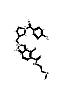 COCCNC(=O)c1ccc2nn(CC3CCN(C(=O)c4ccc(Cl)cc4)C3)cc2c1C